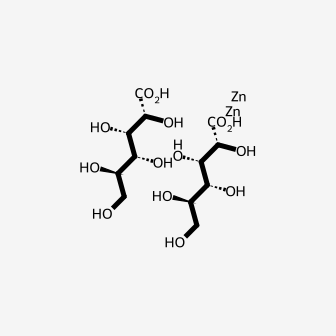 O=C(O)[C@H](O)[C@@H](O)[C@H](O)[C@H](O)CO.O=C(O)[C@H](O)[C@@H](O)[C@H](O)[C@H](O)CO.[Zn].[Zn]